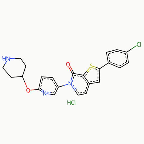 Cl.O=c1c2sc(-c3ccc(Cl)cc3)cc2ccn1-c1ccc(OC2CCNCC2)nc1